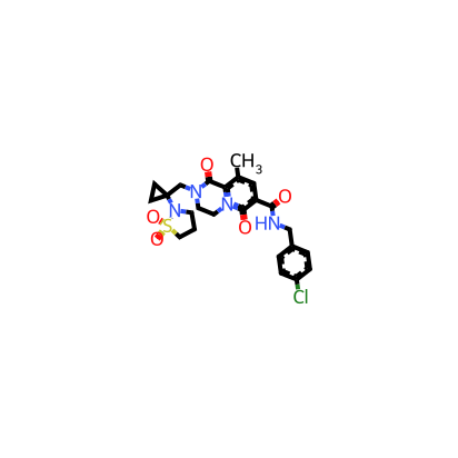 Cc1cc(C(=O)NCc2ccc(Cl)cc2)c(=O)n2c1C(=O)N(CC1(N3CCCS3(=O)=O)CC1)CC2